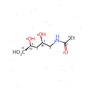 CCC(=O)NC[C@H](O)C[C@H](O)C(=O)O